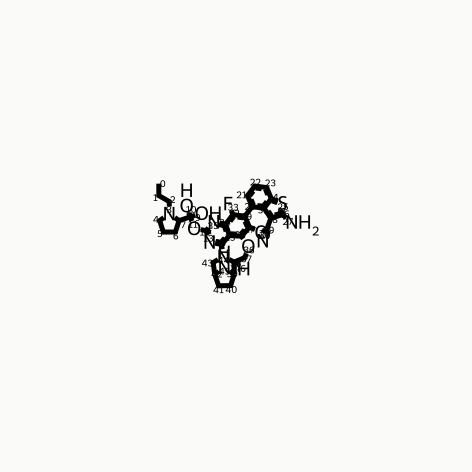 CCCN1CCCC1C(O)(O)Oc1nc2c3c(c(Cl)c(-c4cccc5sc(N)c(C#N)c45)c(F)c3n1)OC[C@@H]1C3CCC(CN21)N3